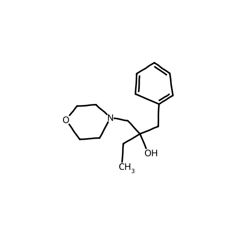 CCC(O)(Cc1ccccc1)CN1CCOCC1